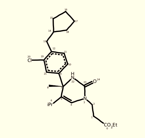 CCOC(=O)CCN1C=C(C(C)C)[C@](C)(c2ccc(CC3CCCC3)c(Cl)c2)NC1=O